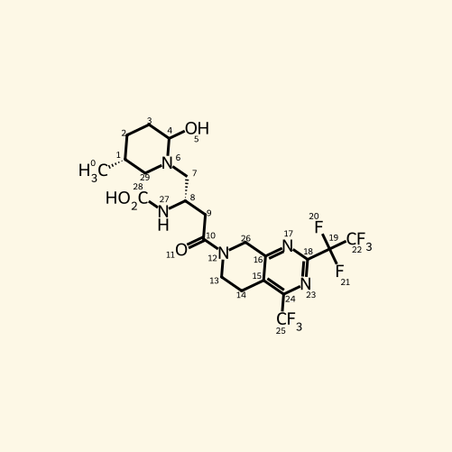 C[C@@H]1CCC(O)N(C[C@H](CC(=O)N2CCc3c(nc(C(F)(F)C(F)(F)F)nc3C(F)(F)F)C2)NC(=O)O)C1